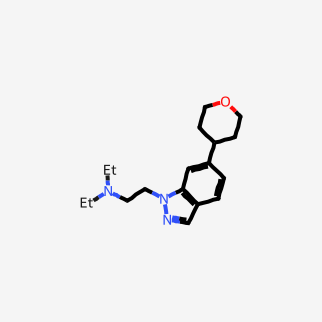 CCN(CC)CCn1ncc2ccc(C3CCOCC3)cc21